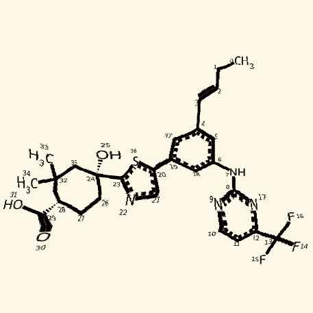 CCC=Cc1cc(Nc2nccc(C(F)(F)F)n2)cc(-c2cnc([C@@]3(O)CC[C@H](C(=O)O)C(C)(C)C3)s2)c1